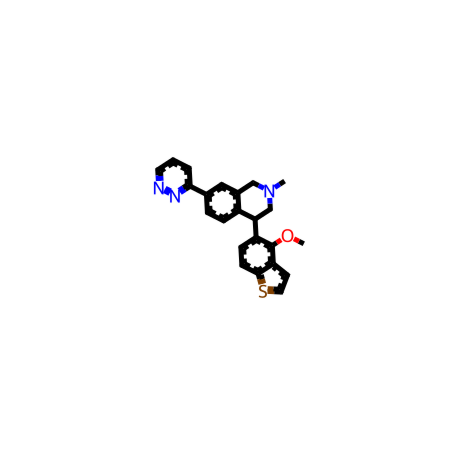 COc1c(C2CN(C)Cc3cc(-c4cccnn4)ccc32)ccc2sccc12